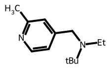 CCN(Cc1ccnc(C)c1)C(C)(C)C